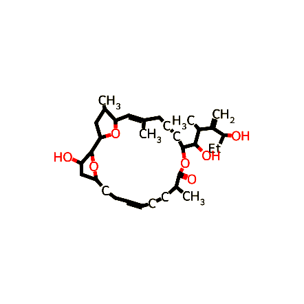 C=C(C(O)CC)C(C)C(O)C1CCC/C(C)=C/C2OC(CC2C)C2OC(CC/C=C/CCC(C)C(=O)O1)CC2O